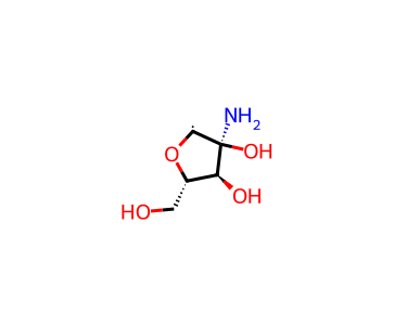 N[C@@]1(O)[CH]O[C@@H](CO)[C@@H]1O